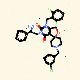 NC(Cn1c(=O)c2c(n(Cc3c(F)cccc3F)c1=O)COC21CCN(Cc2cccc(Cl)c2)CC1)c1ccccc1